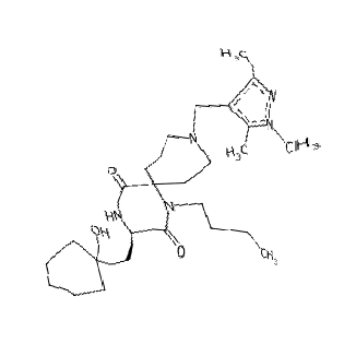 CCCCN1C(=O)[C@@H](CC2(O)CCCCC2)NC(=O)C12CCN(Cc1c(C)nn(C)c1C)CC2